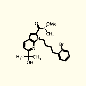 CON(C)C(=O)c1cc2ccc(C(C)(C)O)nc2n1CCCCc1ccccc1Br